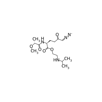 CO[C@H](C)C(=O)N[C@@H](CCC(=O)C=[N+]=[N-])C(=O)OCCNC(C)C